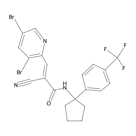 N#CC(=Cc1ncc(Br)cc1Br)C(=O)NC1(c2ccc(C(F)(F)F)cc2)CCCC1